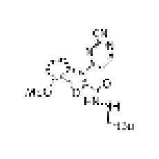 COc1cccc2c(-c3ccnc(C#N)n3)c(C(=O)NNCC(C)(C)C)oc12